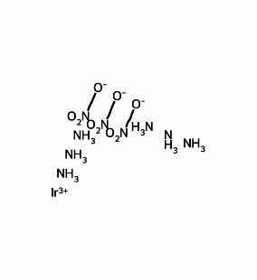 N.N.N.N.N.N.O=[N+]([O-])[O-].O=[N+]([O-])[O-].O=[N+]([O-])[O-].[Ir+3]